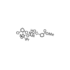 COC(=O)c1cccc(C2CC(O)(c3cnc(OCc4c(-c5c(Cl)cccc5Cl)noc4C(C)C)cn3)C2)c1